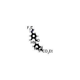 CCOC(=O)c1nc2cc(NC(=O)c3ccc(/C=C/C(F)(F)F)cc3C)cnc2s1